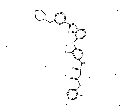 O=C(CC(=O)Nc1ccccc1F)Nc1ccc(Oc2ccnc3cc(-c4cccc(CN5CCOCC5)c4)sc23)c(F)c1